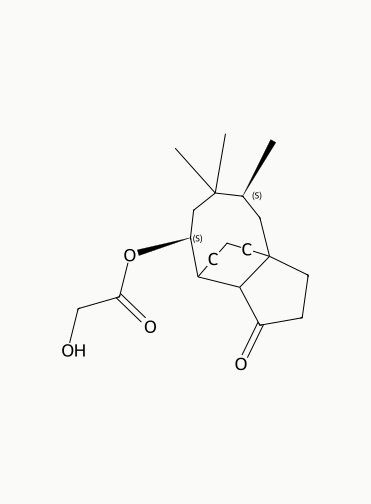 C[C@H]1CC23CCCC(C2C(=O)CC3)[C@@H](OC(=O)CO)CC1(C)C